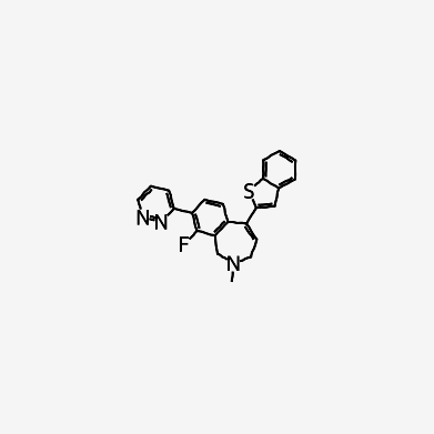 CN1CC=C(c2cc3ccccc3s2)c2ccc(-c3cccnn3)c(F)c2C1